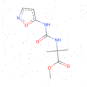 COC(=O)C(C)(C)NC(=O)Nc1ccno1